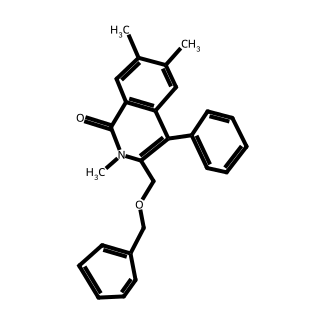 Cc1cc2c(-c3ccccc3)c(COCc3ccccc3)n(C)c(=O)c2cc1C